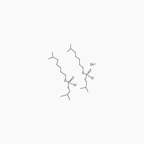 CC(C)CCCCCOP([O-])(=S)SCC(C)C.CC(C)CCCCCOP([O-])(=S)SCC(C)C.[Zn+2]